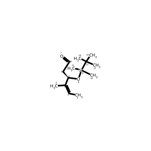 CC=C(C)[C@@H](CC=O)O[Si](C)(C)C(C)(C)C